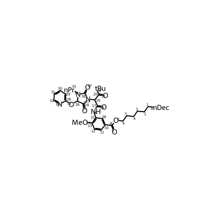 CCCCCCCCCCCCCCCCOC(=O)c1ccc(OC)c(NC(=O)C(C(=O)C(C)(C)C)N2C(=O)C(Oc3ccccn3)N(CCC)C2=O)c1